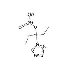 CCC(CC)(O[PH](=O)O)n1cncn1